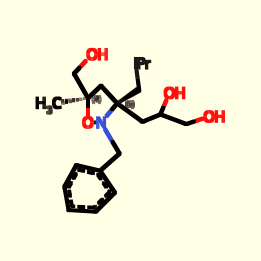 CC(C)C[C@]1(CC(O)CO)C[C@](C)(CO)ON1Cc1ccccc1